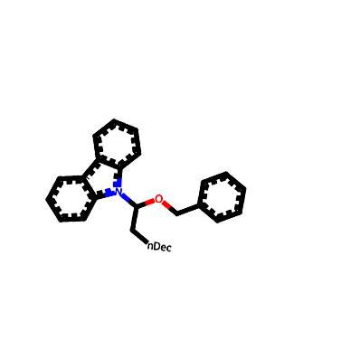 CCCCCCCCCCCC(OCc1ccccc1)n1c2ccccc2c2ccccc21